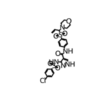 C=CC(N1CCOCC1)S(=O)(=O)c1ccc(NC(=O)c2c[nH]nc2NS(=O)(=O)c2ccc(Cl)cc2)cc1